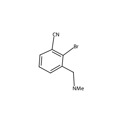 CNCc1cccc(C#N)c1Br